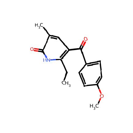 CCc1[nH]c(=O)c(C)cc1C(=O)c1ccc(OC)cc1